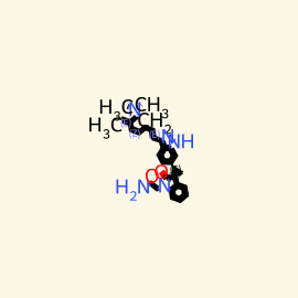 C=C(/C=C\C(=C/C)CN(C)C)/C=C/c1n[nH]c2cc([C@@H]3C[C@@]34C(=O)N(CC(N)=O)c3ccccc34)ccc12